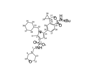 Cc1c(S(=O)(=O)NCC2CCOCC2)cc(-c2ccc(S(=O)(=O)NC(C)(C)C)c(C3(C)CC3)c2)n1CC1CCCCC1